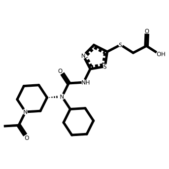 CC(=O)N1CCC[C@H](N(C(=O)Nc2ncc(SCC(=O)O)s2)C2CCCCC2)C1